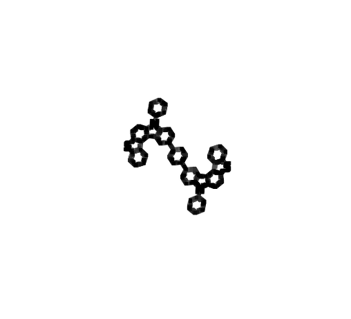 c1ccc(-n2c3ccc(-c4ccc(-c5ccc6c(c5)c5c7c(ccc5n6-c5ccccc5)sc5ccccc57)cc4)cc3c3c4c(ccc32)sc2ccccc24)cc1